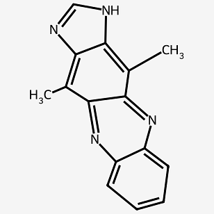 Cc1c2nc3ccccc3nc2c(C)c2[nH]cnc12